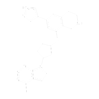 Cc1ncnc2c1ccn2C1CCC(Oc2cc(-c3cn[nH]c3)cc3c2CNCC3)C1